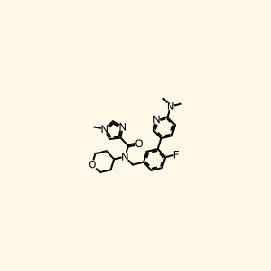 CN(C)c1ccc(-c2cc(CN(C(=O)c3cn(C)cn3)C3CCOCC3)ccc2F)cn1